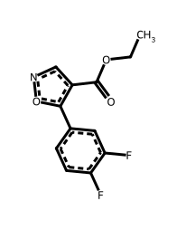 CCOC(=O)c1cnoc1-c1ccc(F)c(F)c1